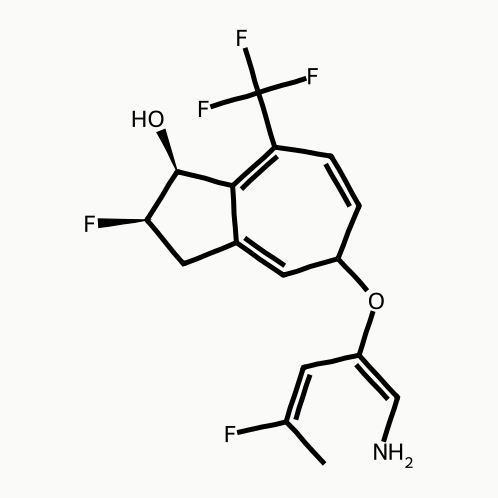 C/C(F)=C\C(=C/N)OC1C=CC(C(F)(F)F)=C2C(=C1)C[C@@H](F)[C@H]2O